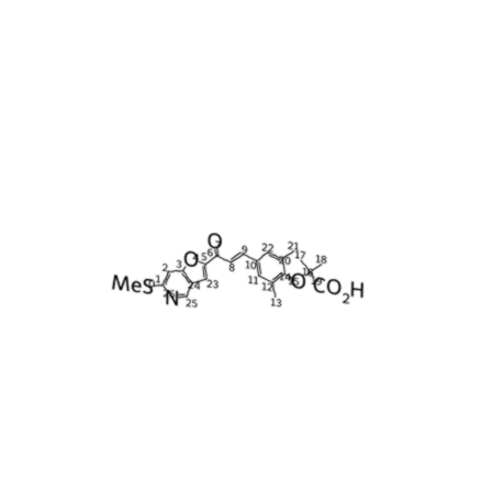 CSc1cc2oc(C(=O)/C=C/c3cc(C)c(OC(C)(C)C(=O)O)c(C)c3)cc2cn1